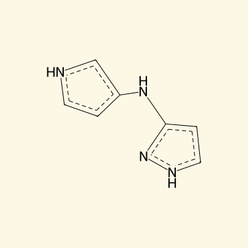 c1cc(Nc2cc[nH]n2)c[nH]1